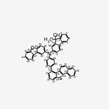 CC1(C)c2ccccc2-c2ccc(N(c3ccc(-c4cccc5sc6c7ccccc7ccc6c45)cc3)c3ccc4oc5ccccc5c4c3)cc21